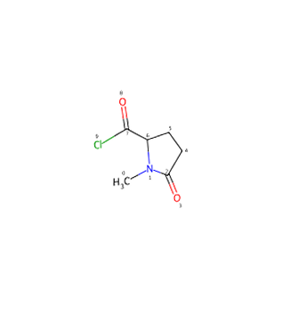 CN1C(=O)CCC1C(=O)Cl